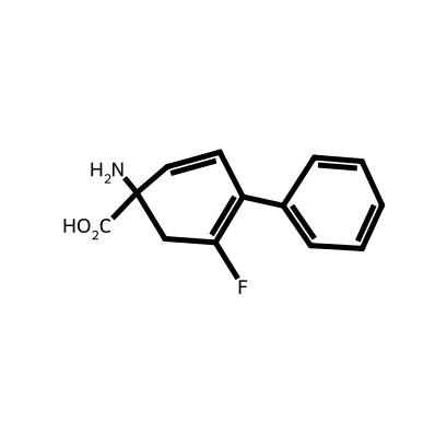 NC1(C(=O)O)C=CC(c2ccccc2)=C(F)C1